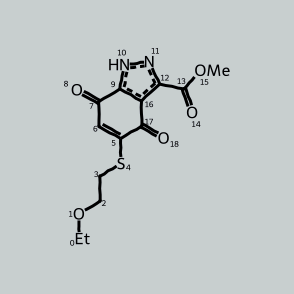 CCOCCSC1=CC(=O)c2[nH]nc(C(=O)OC)c2C1=O